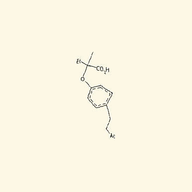 CCC(C)(Oc1ccc(CCC(C)=O)cc1)C(=O)O